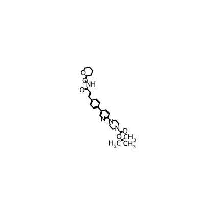 CC(C)(C)OC(=O)N1CCN(c2ccc(-c3ccc(/C=C/C(=O)NOC4CCCCO4)cc3)cn2)CC1